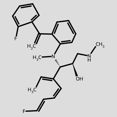 C=C(c1ccccc1F)c1ccccc1N(C)[C@@H](C(/C=C\C=C\F)=C/C)[C@H](O)CNC